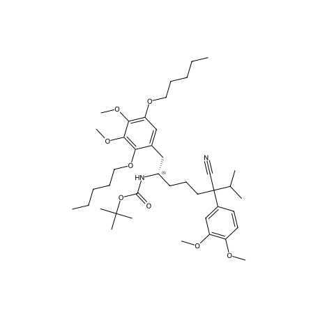 CCCCCOc1cc(C[C@H](CCCC(C#N)(c2ccc(OC)c(OC)c2)C(C)C)NC(=O)OC(C)(C)C)c(OCCCCC)c(OC)c1OC